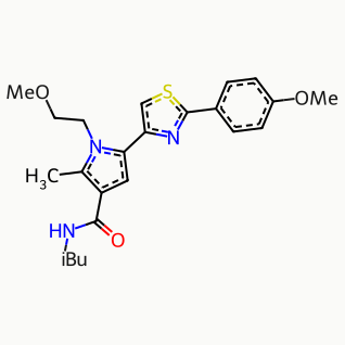 CCC(C)NC(=O)c1cc(-c2csc(-c3ccc(OC)cc3)n2)n(CCOC)c1C